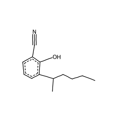 CCCCC(C)c1cccc(C#N)c1O